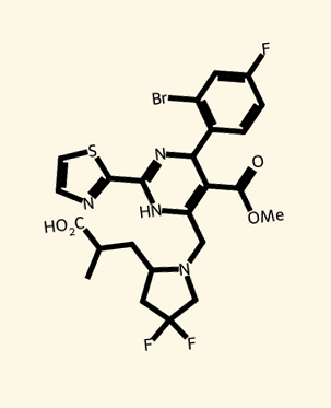 COC(=O)C1=C(CN2CC(F)(F)CC2CC(C)C(=O)O)NC(c2nccs2)=NC1c1ccc(F)cc1Br